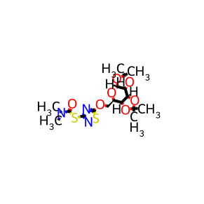 CN(C)C(=O)Sc1nsc(OC[C@H]2O[C@@H]3OC(C)(C)O[C@@H]3[C@H]3OC(C)(C)O[C@H]32)n1